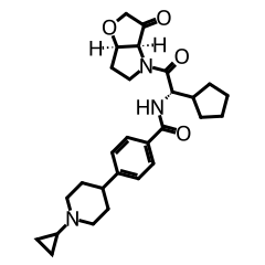 O=C(N[C@H](C(=O)N1CC[C@H]2OCC(=O)[C@H]21)C1CCCC1)c1ccc(C2CCN(C3CC3)CC2)cc1